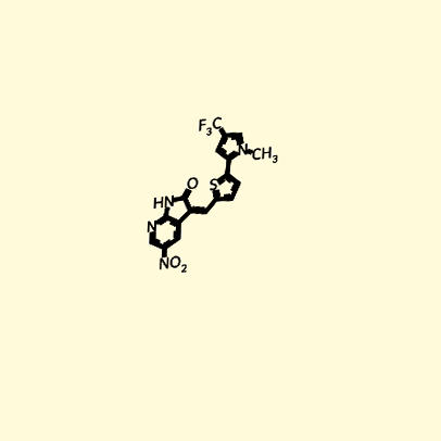 Cn1cc(C(F)(F)F)cc1-c1ccc(C=C2C(=O)Nc3ncc([N+](=O)[O-])cc32)s1